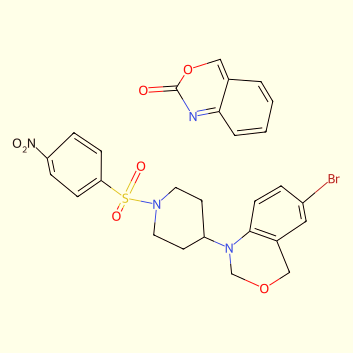 O=[N+]([O-])c1ccc(S(=O)(=O)N2CCC(N3COCc4cc(Br)ccc43)CC2)cc1.O=c1nc2ccccc2co1